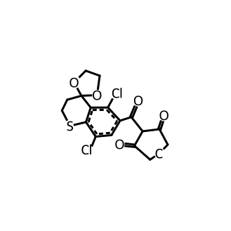 O=C1CCCC(=O)C1C(=O)c1cc(Cl)c2c(c1Cl)C1(CCS2)OCCO1